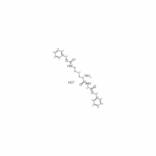 Cl.N[C@@H](CCCCNC(=O)OCc1ccccc1)C(=O)NCC(=O)OCc1ccccc1